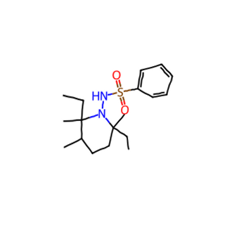 CCC1(C)CCC(C)C(C)(CC)N1NS(=O)(=O)c1ccccc1